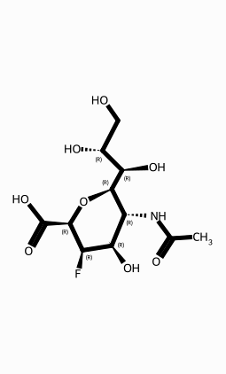 CC(=O)N[C@@H]1[C@@H](O)[C@@H](F)[C@@H](C(=O)O)O[C@H]1[C@H](O)[C@H](O)CO